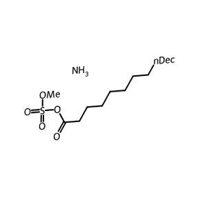 CCCCCCCCCCCCCCCCCC(=O)OS(=O)(=O)OC.N